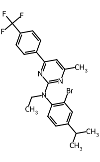 CCN(c1nc(C)cc(-c2ccc(C(F)(F)F)cc2)n1)c1ccc(C(C)C)cc1Br